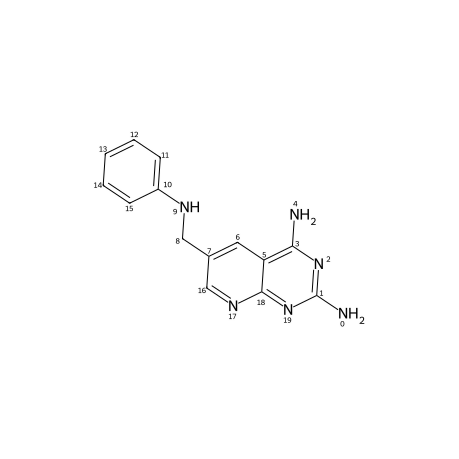 Nc1nc(N)c2cc(CNc3ccccc3)cnc2n1